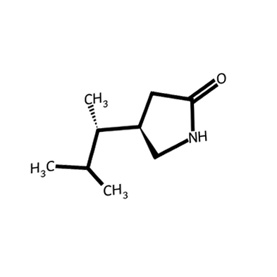 CC(C)[C@H](C)[C@@H]1CNC(=O)C1